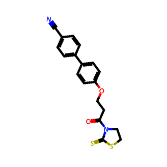 N#Cc1ccc(-c2ccc(OCCC(=O)N3CCSC3=S)cc2)cc1